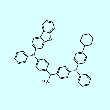 CC(c1ccc(N(c2ccccc2)c2ccc(C3CCCCC3)cc2)cc1)c1ccc(N(c2ccccc2)c2ccc3c(c2)oc2ccccc23)cc1